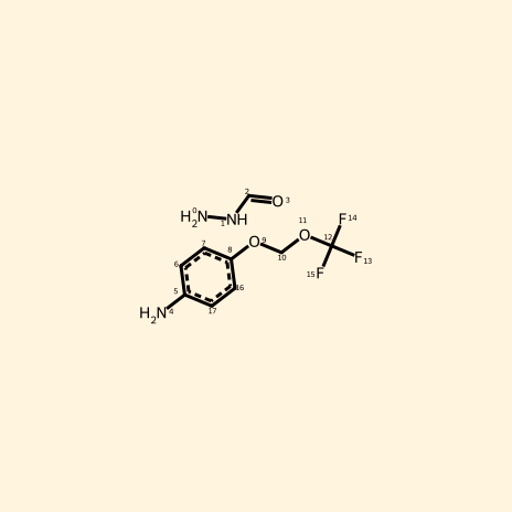 NNC=O.Nc1ccc(OCOC(F)(F)F)cc1